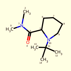 CN(C)C(=O)C1CCCCN1C(C)(C)C